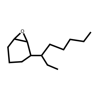 CCCCCC(CC)C1CCCC2OC21